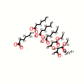 CCCCCC(=O)[O-].CCCCCC(=O)[O-].CCCCCC(=O)[O-].CCCCCC(=O)[O-].CCOC(=O)CC(C)=O.CCOC(=O)CC(C)=O.[Sn+4]